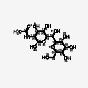 CC(=O)N[C@H]1[C@@H](O)[C@@H](O)[C@@H](C(O)[C@@H]2O[C@H](CO)[C@H](O)[C@H](O)[C@H]2O)O[C@@H]1O